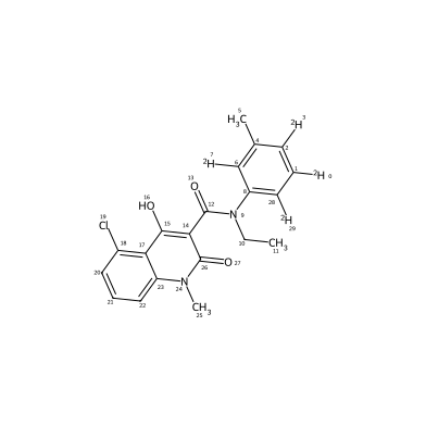 [2H]c1c([2H])c(C)c([2H])c(N(CC)C(=O)c2c(O)c3c(Cl)cccc3n(C)c2=O)c1[2H]